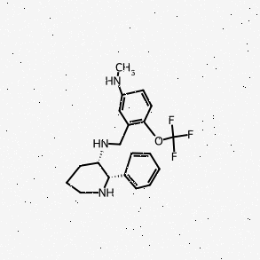 CNc1ccc(OC(F)(F)F)c(CN[C@H]2CCCN[C@H]2c2ccccc2)c1